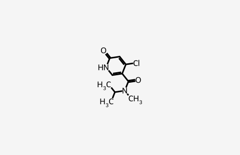 CC(C)N(C)C(=O)c1c[nH]c(=O)cc1Cl